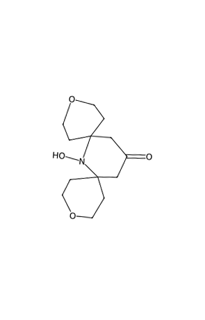 O=C1CC2(CCOCC2)N(O)C2(CCOCC2)C1